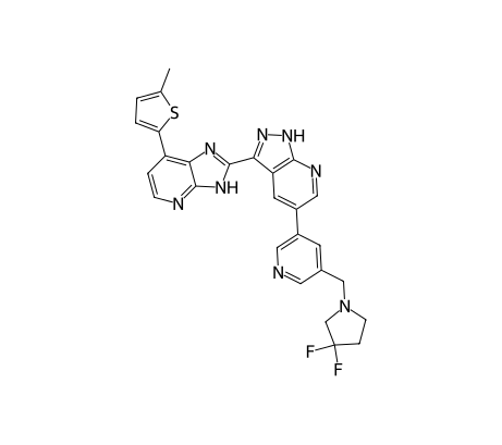 Cc1ccc(-c2ccnc3[nH]c(-c4n[nH]c5ncc(-c6cncc(CN7CCC(F)(F)C7)c6)cc45)nc23)s1